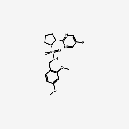 COc1ccc(CNS(=O)(=O)[C@@H]2CCC[C@@H]2c2ncc(F)cn2)c(OC)c1